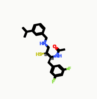 CC(=O)N[C@@H](Cc1cc(F)cc(F)c1)[C@@H](S)CNCc1cccc(C(C)C)c1